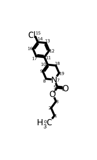 CCCCOC(=O)N1CC=C(c2ccc(Cl)cc2)CC1